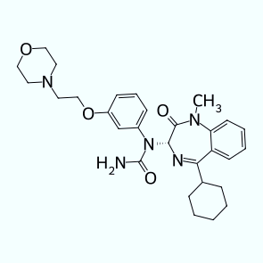 CN1C(=O)[C@@H](N(C(N)=O)c2cccc(OCCN3CCOCC3)c2)N=C(C2CCCCC2)c2ccccc21